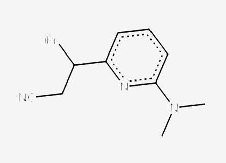 CC(C)C(CC#N)c1cccc(N(C)C)n1